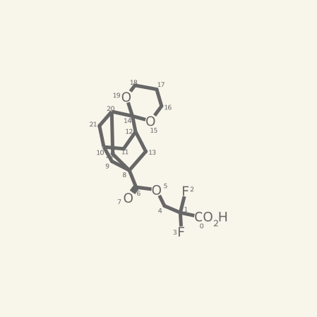 O=C(O)C(F)(F)COC(=O)C12CC3CC(C1)C1(OCCCO1)C(C3)C2